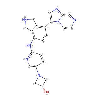 OC1CN(c2ccc(Nc3ccc(-c4cnc5cnccn45)c4c3CNC4)nc2)C1